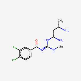 CC(N)CC(N)N/C(=N\C(=O)c1ccc(Cl)c(F)c1)NC(C)(C)C